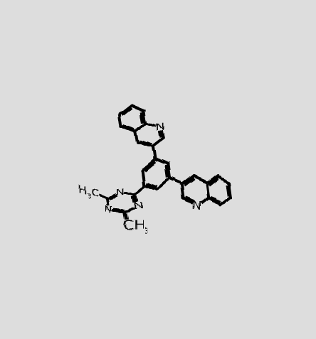 Cc1nc(C)nc(-c2cc(-c3cnc4ccccc4c3)cc(-c3cnc4ccccc4c3)c2)n1